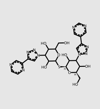 OCC1OC(S[C@@H]2O[C@H](CO)C(O)C(n3cc(-c4cncnc4)nn3)C2O)C(O)C(n2cc(-c3cnccn3)nn2)C1O